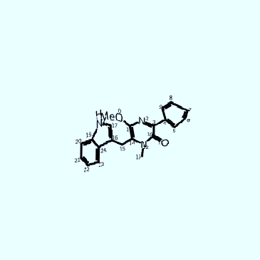 COc1nc(-c2ccccc2)c(=O)n(C)c1Cc1c[nH]c2ccccc12